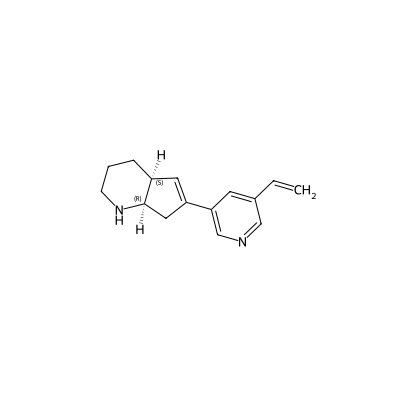 C=Cc1cncc(C2=C[C@@H]3CCCN[C@@H]3C2)c1